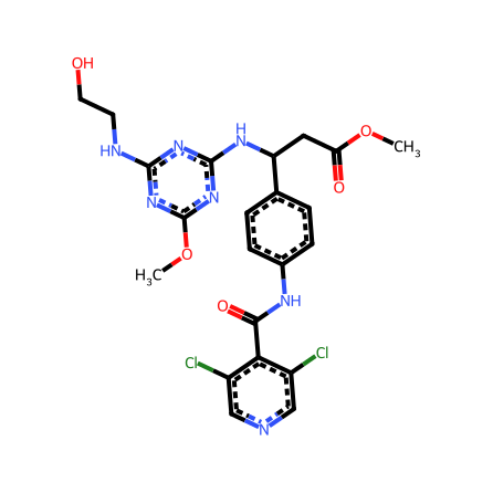 COC(=O)CC(Nc1nc(NCCO)nc(OC)n1)c1ccc(NC(=O)c2c(Cl)cncc2Cl)cc1